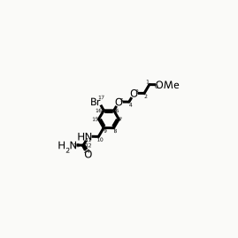 COCCOCOc1ccc(CNC(N)=O)cc1Br